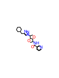 O=C(NC1COC2C1OCC2n1cc(CC2CCCCC2)nn1)c1cccnc1